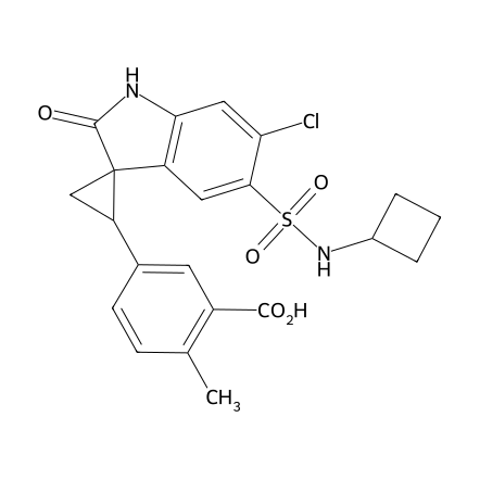 Cc1ccc(C2CC23C(=O)Nc2cc(Cl)c(S(=O)(=O)NC4CCC4)cc23)cc1C(=O)O